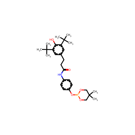 CC1(C)COP(Oc2ccc(NC(=O)CCc3cc(C(C)(C)C)c(O)c(C(C)(C)C)c3)cc2)OC1